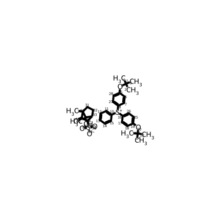 CC(C)(C)Oc1ccc([S+](c2ccccc2)c2ccc(OC(C)(C)C)cc2)cc1.CC12CCC(C(S(=O)(=O)[O-])C1=O)C2(C)C